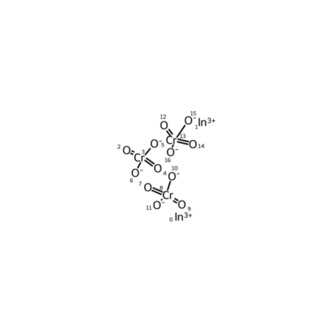 [In+3].[In+3].[O]=[Cr](=[O])([O-])[O-].[O]=[Cr](=[O])([O-])[O-].[O]=[Cr](=[O])([O-])[O-]